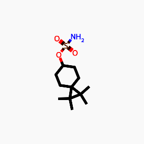 CC1(C)C(C)(C)C12CCC(OS(N)(=O)=O)CC2